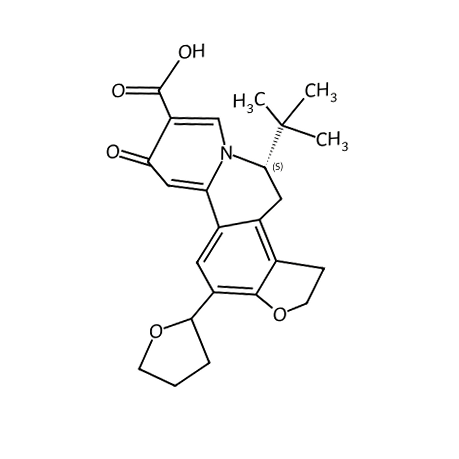 CC(C)(C)[C@@H]1Cc2c(cc(C3CCCO3)c3c2CCO3)-c2cc(=O)c(C(=O)O)cn21